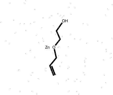 C=CCOCCO.[Zn]